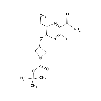 CCc1nc(C(N)=O)c(Cl)nc1OC1CN(C(=O)OC(C)(C)C)C1